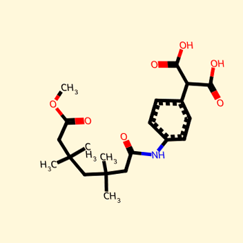 COC(=O)CC(C)(C)CC(C)(C)CC(=O)Nc1ccc(C(C(=O)O)C(=O)O)cc1